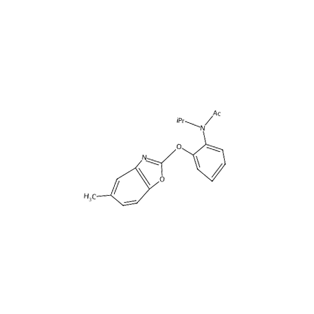 CC(=O)N(c1ccccc1Oc1nc2cc(C)ccc2o1)C(C)C